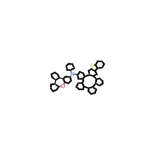 c1ccc(N(c2ccc3c(c2)-c2ccccc2-c2ccccc2O3)c2ccc3c(c2)c2ccccc2c2ccccc2c2ccccc2c2cc4c(cc32)sc2ccccc24)cc1